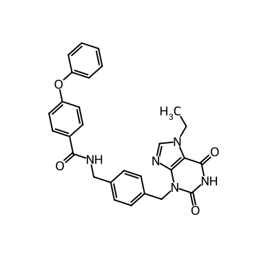 CCn1cnc2c1c(=O)[nH]c(=O)n2Cc1ccc(CNC(=O)c2ccc(Oc3ccccc3)cc2)cc1